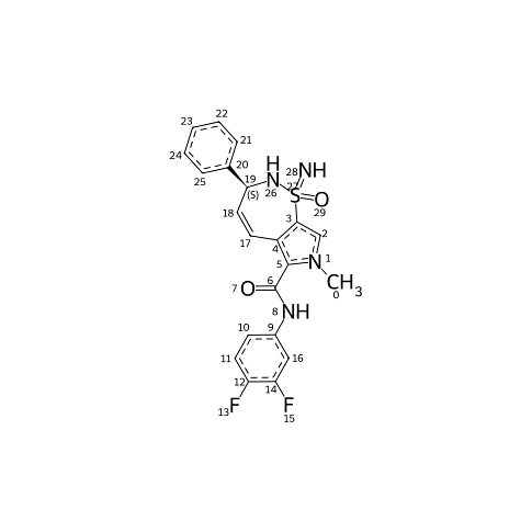 Cn1cc2c(c1C(=O)Nc1ccc(F)c(F)c1)C=C[C@@H](c1ccccc1)NS2(=N)=O